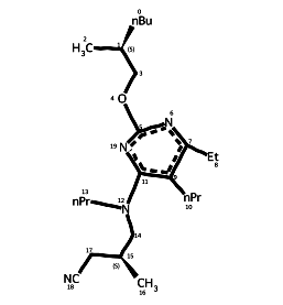 CCCC[C@H](C)COc1nc(CC)c(CCC)c(N(CCC)C[C@@H](C)CC#N)n1